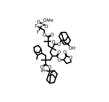 COS(=O)(=O)C(F)(F)COC(=O)C(C)(C)CC(C)(CC(CC(C)(CC1C2CCC(C2)C1C)C(=O)OC1(C(C)C)C2CC3CC(C2)CC1C3)C(=O)OC1CCOC1=O)C(=O)OC12CC3CC(CC(O)(C3)C1)C2